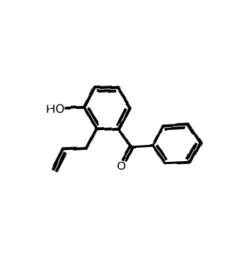 C=CCc1c(O)cccc1C(=O)c1ccccc1